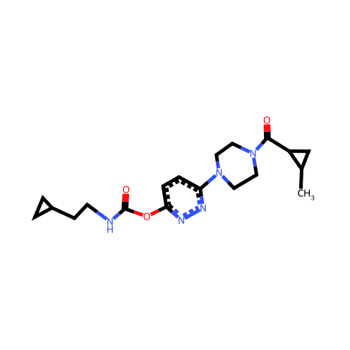 CC1CC1C(=O)N1CCN(c2ccc(OC(=O)NCCC3CC3)nn2)CC1